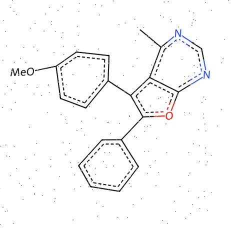 COc1ccc(-c2c(-c3ccccc3)oc3ncnc(C)c23)cc1